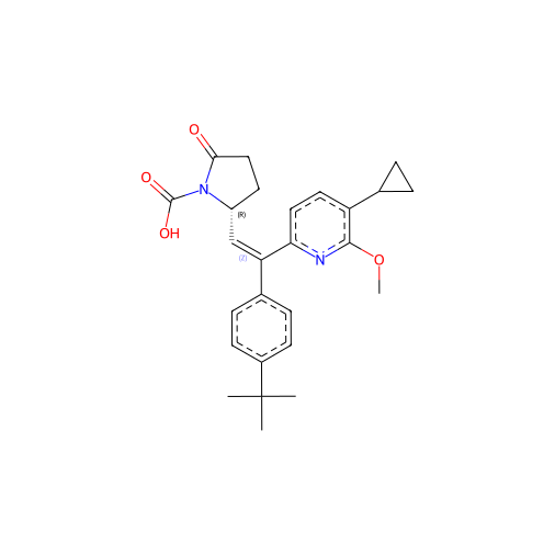 COc1nc(/C(=C\[C@H]2CCC(=O)N2C(=O)O)c2ccc(C(C)(C)C)cc2)ccc1C1CC1